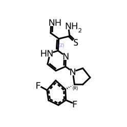 N=C/C(C(N)=S)=C1/N=C(N2CCC[C@@H]2c2cc(F)ccc2F)C=CN1